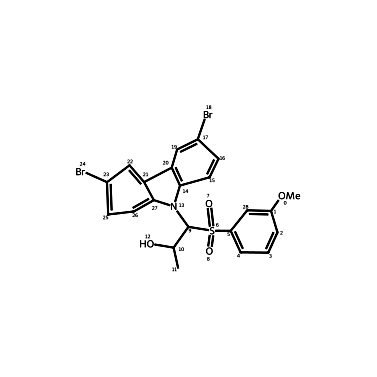 COc1cccc(S(=O)(=O)C(C(C)O)n2c3ccc(Br)cc3c3cc(Br)ccc32)c1